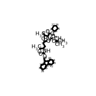 CC(=O)C(CCC(=O)OC(C)C(NC(=O)OC(C)(C)C)C(=O)OC1CCCCC1)NC(=O)OCC1c2ccccc2-c2ccccc21